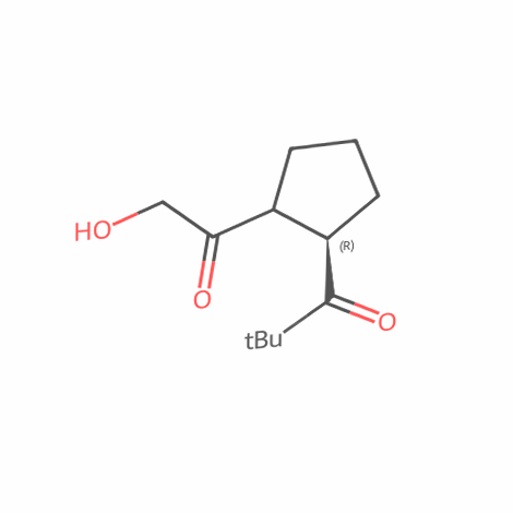 CC(C)(C)C(=O)[C@@H]1CCCC1C(=O)CO